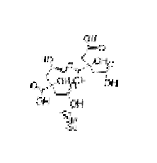 O=C(O)CC(O)(CC(=O)O)C(=O)O.O=C(O)CC(O)(CC(=O)O)C(=O)O.[Se].[Se].[Se]